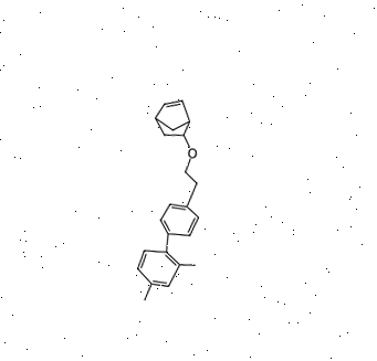 Cc1ccc(-c2ccc(CCOC3CC4C=CC3C4)cc2)c(C)c1